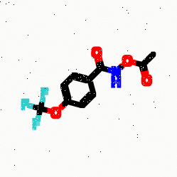 CC(=O)ONC(=O)c1ccc(OC(F)(F)F)cc1